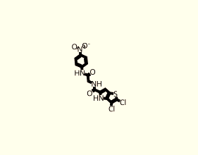 O=C(CNC(=O)c1cc2sc(Cl)c(Cl)c2[nH]1)Nc1ccc([N+](=O)[O-])cc1